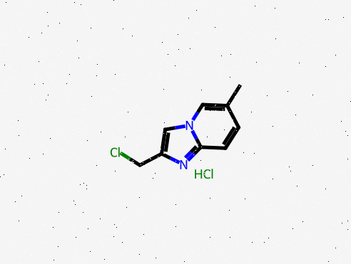 Cc1ccc2nc(CCl)cn2c1.Cl